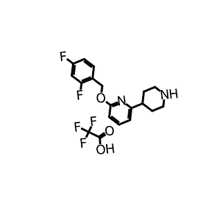 Fc1ccc(COc2cccc(C3CCNCC3)n2)c(F)c1.O=C(O)C(F)(F)F